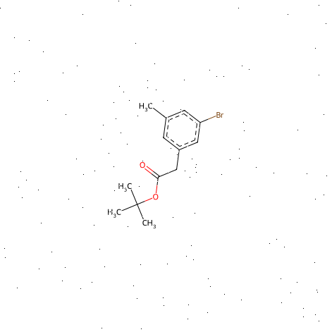 Cc1cc(Br)cc(CC(=O)OC(C)(C)C)c1